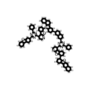 c1ccc(-c2nc(-c3ccc4ccc(-c5ccc6c(c5)c5ccc7ccccc7c5n6-c5cccc6c5oc5nccc(-c7nc(-c8ccccc8)nc(-c8ccc9c(c8)oc8ccccc89)n7)c56)cc4c3)nc(-c3ccnc4oc5c(-c6cccc7c6oc6cc8ccccc8cc67)cccc5c34)n2)cc1